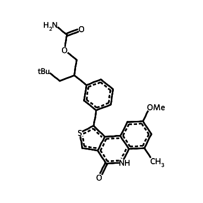 COc1cc(C)c2[nH]c(=O)c3csc(-c4cccc(C(COC(N)=O)CC(C)(C)C)c4)c3c2c1